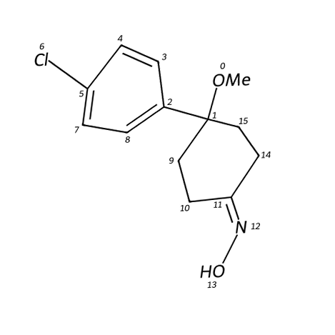 COC1(c2ccc(Cl)cc2)CCC(=NO)CC1